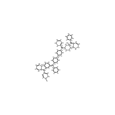 CC1C=CC(N2c3cc(N(c4ccccc4)c4ccc(-c5ccc(N(C6=CC=CCC6)C6CCC7C8CCC=CC8N(c8ccccc8)C7(C)C6)cc5)cc4)ccc3C3C=CC=CC32)=CC1